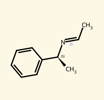 C/C=N/[C@@H](C)c1ccccc1